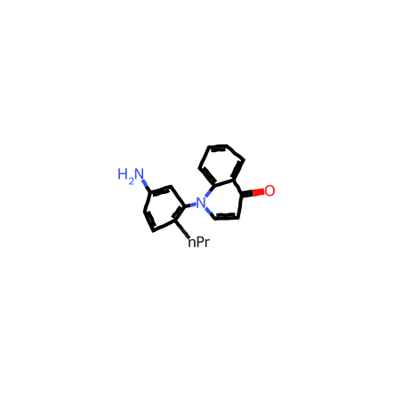 CCCc1ccc(N)cc1-n1ccc(=O)c2ccccc21